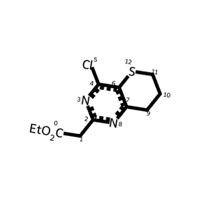 CCOC(=O)Cc1nc(Cl)c2c(n1)CCCS2